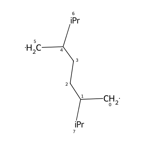 [CH2]C(CCC([CH2])C(C)C)C(C)C